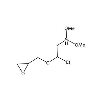 CCC(C[SiH](OC)OC)OCC1CO1